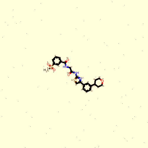 CS(=O)(=O)c1cccc(C(=O)NCC(=O)Nc2nc(-c3cccc(C4CCOCC4)c3)cs2)c1